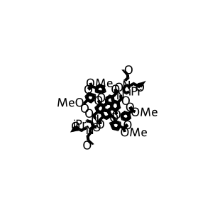 COC(=O)c1cccc(Oc2cc3c4c(cc(Oc5cccc(C(=O)OC)c5)c5c6c(Oc7cccc(C(=O)OC)c7)cc7c8c(cc(Oc9cccc(C(=O)OC)c9)c(c2c45)c86)C(=O)N(C(CC(C)C)C(=O)N(CCC2CO2)CCC2CO2)C7=O)C(=O)N(C(CC(C)C)C(=O)N(CCC2CO2)CCC2CO2)C3=O)c1